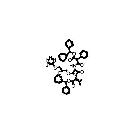 CC(C)=C(C(=O)OC(c1ccccc1)c1ccccc1)N1C(=O)[C@@H](NC(=O)C(C(=O)OC(c2ccccc2)c2ccccc2)c2ccccc2)[C@H]1OCC(=O)CSc1nnnn1C